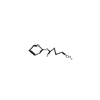 C=CCCC(=S)Oc1ccccn1